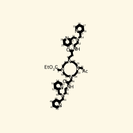 CCOC(=O)CN1CCN(CCC(=O)NCCN(Cc2ccccn2)Cc2ccccn2)CCN(CC(C)=O)CCN(CC(=O)NCCN(Cc2ccccn2)Cc2ccccn2)CC1